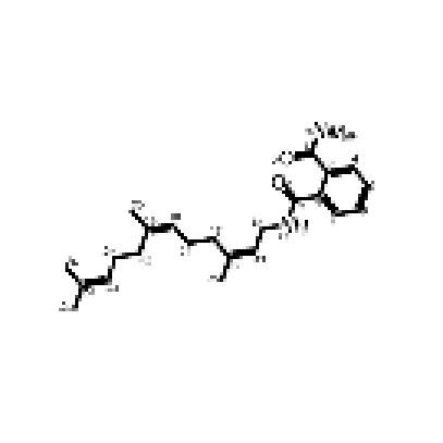 CNC(=O)c1ccccc1C(=O)NCC=C(C)CCC=C(C)CCC=C(C)C